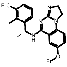 CCOc1ccc2c(c1)C(N[C@H](C)c1cccc(C(F)(F)F)c1C)=NC1=NCCN12